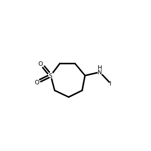 O=S1(=O)CCCC(NI)CC1